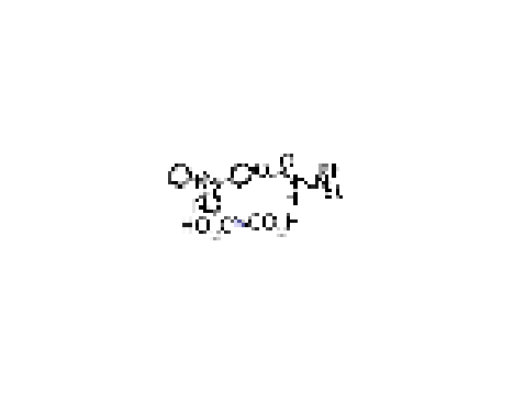 CCN(CC)CCNC(=O)COc1ccc(-c2nn(-c3ccccc3)c3ncccc23)cc1.O=C(O)/C=C/C(=O)O